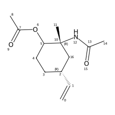 C=C[C@@H]1CCC(OC(C)=O)[C@](C)(NC(C)=O)C1